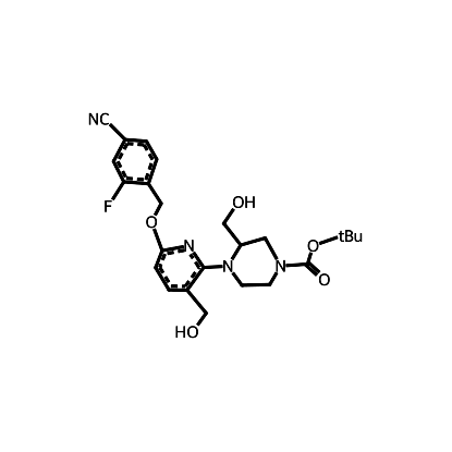 CC(C)(C)OC(=O)N1CCN(c2nc(OCc3ccc(C#N)cc3F)ccc2CO)C(CO)C1